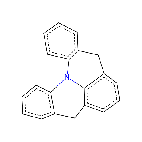 c1ccc2c(c1)Cc1cccc3c1N2c1ccccc1C3